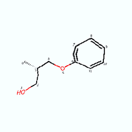 C[C@@H](CO)COc1ccccc1